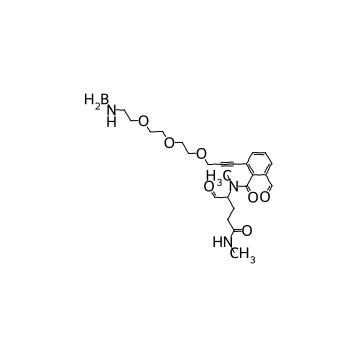 BNCCOCCOCCOCC#Cc1cccc(C=O)c1C(=O)N(C)C(C=O)CCC(=O)NC